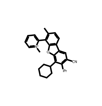 Cc1ccc2c(oc3c(C4CCCCC4)c(C(C)C)c(C#N)cc32)c1-c1cccc[n+]1C